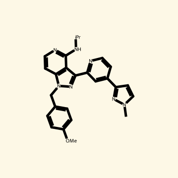 COc1ccc(Cn2nc(-c3cc(-c4ccn(C)n4)ccn3)c3c(NC(C)C)nccc32)cc1